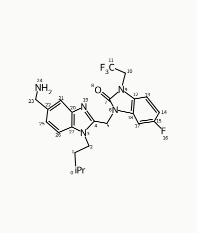 CC(C)CCn1c(Cn2c(=O)n(CC(F)(F)F)c3ccc(F)cc32)nc2cc(CN)ccc21